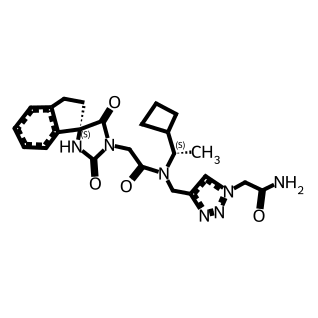 C[C@@H](C1CCC1)N(Cc1cn(CC(N)=O)nn1)C(=O)CN1C(=O)N[C@]2(CCc3ccccc32)C1=O